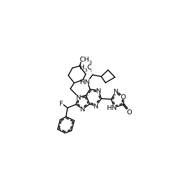 CC1CCC(Cn2c(C(F)c3ccccc3)nc3nc(-c4noc(=O)[nH]4)nc(N[C@H](C)C4CCC4)c32)CC1